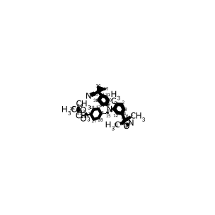 Cc1ccc(-c2c(C)noc2C)cc1N(C[C@H]1CC[C@H](C(=O)OC(C)(C)C)CC1)c1ccc(C2(C#N)CC2)cc1